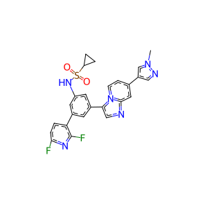 Cn1cc(-c2ccn3c(-c4cc(NS(=O)(=O)C5CC5)cc(-c5ccc(F)nc5F)c4)cnc3c2)cn1